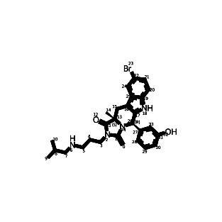 C=C1N(CCCNCC(C)C)C(=O)[C@]2(C)Cc3c([nH]c4ccc(Br)cc34)[C@@H](c3cccc(O)c3)N12